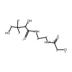 CC(C)(CO)C(O)C(=O)NCCNC(=O)CCl